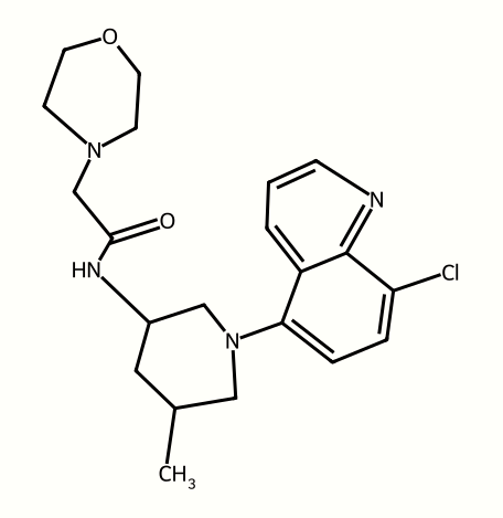 CC1CC(NC(=O)CN2CCOCC2)CN(c2ccc(Cl)c3ncccc23)C1